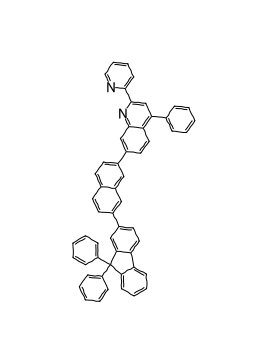 c1ccc(-c2cc(-c3ccccn3)nc3cc(-c4ccc5ccc(-c6ccc7c(c6)C(c6ccccc6)(c6ccccc6)c6ccccc6-7)cc5c4)ccc23)cc1